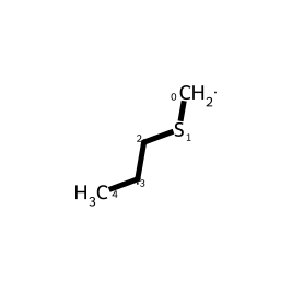 [CH2]SC[CH]C